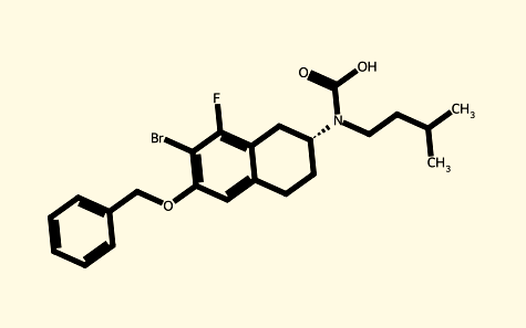 CC(C)CCN(C(=O)O)[C@@H]1CCc2cc(OCc3ccccc3)c(Br)c(F)c2C1